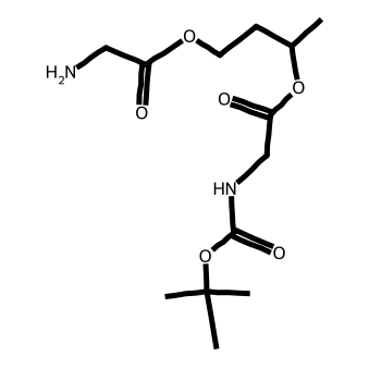 CC(CCOC(=O)CN)OC(=O)CNC(=O)OC(C)(C)C